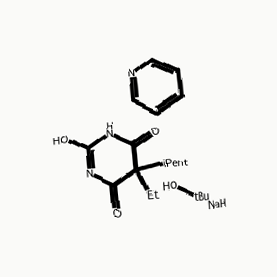 CC(C)(C)O.CCCC(C)C1(CC)C(=O)N=C(O)NC1=O.[NaH].c1ccncc1